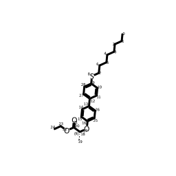 CCCCCCCCSc1ccc(-c2ccc(O[C@H](C)C(=O)OCC)cc2)cc1